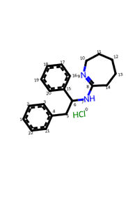 Cl.c1ccc(CC(NC2=NCCCCC2)c2ccccc2)cc1